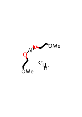 COCC[O][Al+][O]CCOC.[H-].[H-].[K+]